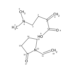 C=C(CCN(C)C)C(=O)O.C=CN1CCCC1=O